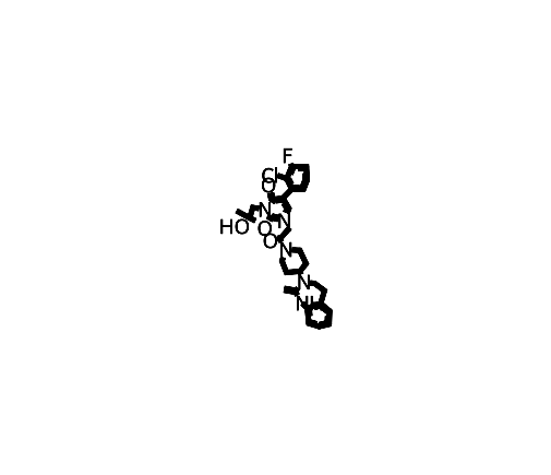 C=C1Nc2ccccc2CCN1C1CCN(C(=O)Cn2cc(-c3cccc(F)c3Cl)c(=O)n(CC(C)(C)O)c2=O)CC1